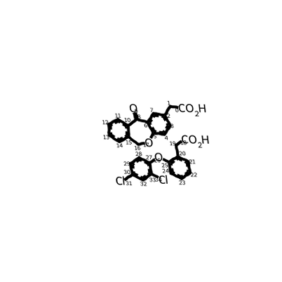 O=C(O)Cc1ccc2c(c1)C(=O)c1ccccc1CO2.O=C(O)Cc1ccccc1Oc1ccc(Cl)cc1Cl